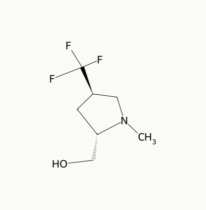 CN1C[C@H](C(F)(F)F)C[C@H]1CO